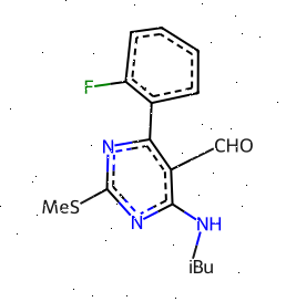 CCC(C)Nc1nc(SC)nc(-c2ccccc2F)c1C=O